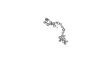 Cn1cnnc1CC1(c2cccc(-n3cc4c(C(F)(F)F)cc(CN5CCC(OCCOCc6ccc(COCCNc7cccc8c7C(=O)N(C7CCC(=O)NC7=O)C8=O)cc6)CC5)cn4c3=O)c2)COC1